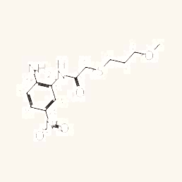 COCCCSCC(=O)Nc1cc([N+](=O)[O-])ccc1N